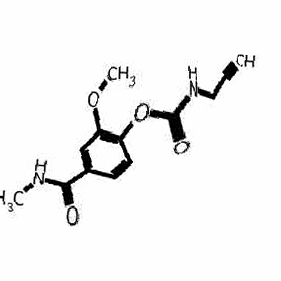 C#CCNC(=O)Oc1ccc(C(=O)NC)cc1OC